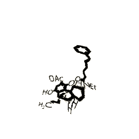 C=CCN1CC[C@]23c4c5c(O)cc(OC(C)=O)c4O[C@H]2[C@@H](N(CC)C(=O)CCCCCc2ccccc2)CC[C@H]3[C@H]1C5